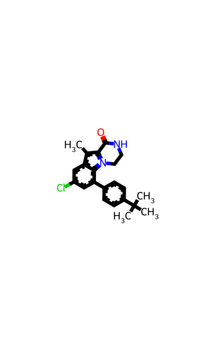 Cc1c2n(c3c(-c4ccc(C(C)(C)C)cc4)cc(Cl)cc13)CCNC2=O